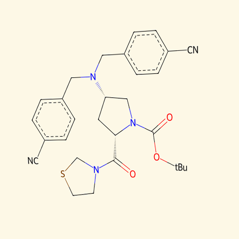 CC(C)(C)OC(=O)N1C[C@@H](N(Cc2ccc(C#N)cc2)Cc2ccc(C#N)cc2)C[C@H]1C(=O)N1CCSC1